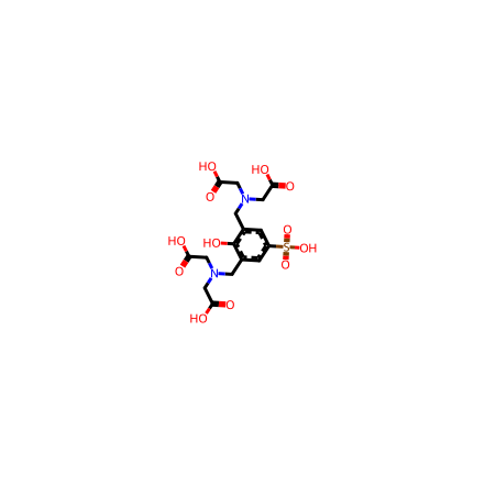 O=C(O)CN(CC(=O)O)Cc1cc(S(=O)(=O)O)cc(CN(CC(=O)O)CC(=O)O)c1O